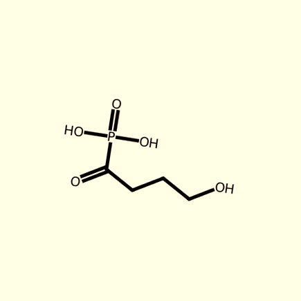 O=C(CCCO)P(=O)(O)O